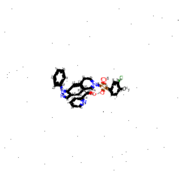 Cc1ccc(S(=O)(=O)N2CCC3=Cc4c(cnn4-c4ccccc4)C[C@]3(C(=O)c3ccccn3)C2)cc1Cl